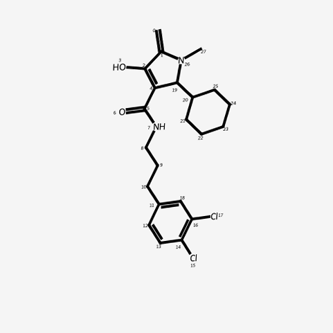 C=C1C(O)=C(C(=O)NCCCc2ccc(Cl)c(Cl)c2)C(C2CCCCC2)N1C